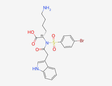 NCCCC[C@@H](C(=O)O)N(C(=O)Cc1c[nH]c2ccccc12)S(=O)(=O)c1ccc(Br)cc1